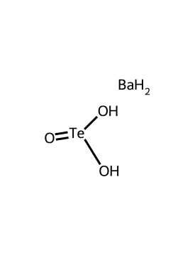 O=[Te](O)O.[BaH2]